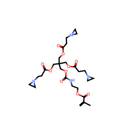 C=C(C)C(=O)OCCNC(=O)OCC(COC(=O)CCN1CC1)(COC(=O)CCN1CC1)COC(=O)CCN1CC1